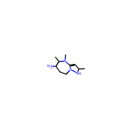 CC1C=C2N(CCC(N)C(C)N2C)N1